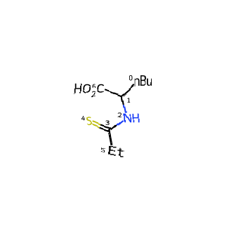 CCCCC(NC(=S)CC)C(=O)O